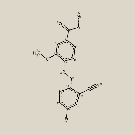 COc1cc(C(=O)CBr)ccc1OCc1ccc(Br)cc1C#N